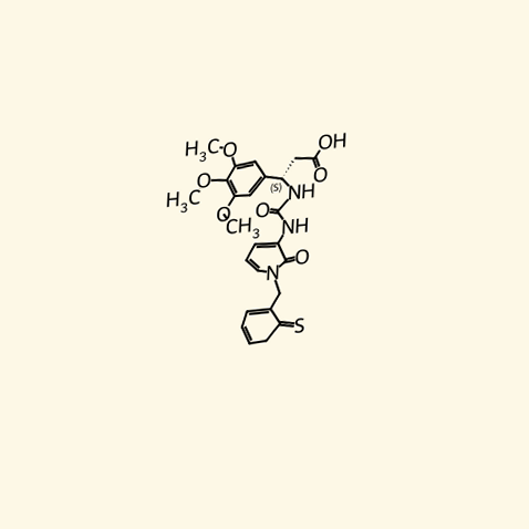 COc1cc([C@H](CC(=O)O)NC(=O)Nc2cccn(CC3=CC=CCC3=S)c2=O)cc(OC)c1OC